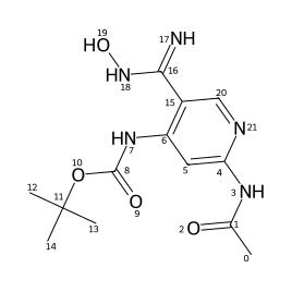 CC(=O)Nc1cc(NC(=O)OC(C)(C)C)c(C(=N)NO)cn1